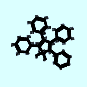 C[Si]1(C)C(c2ccccc2)=C(c2ccccc2)C(c2ccccc2)=C1C1C=CC=CC1